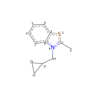 Cc1sc2ccccc2[n+]1CC1CC1